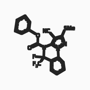 CSc1nn2c(c1C#N)N(C(=O)Oc1ccccc1)C(F)(C(F)(F)F)c1ccccc1-2